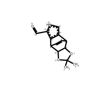 CC1(C)OC2C3C=CC(c4c3c[nH]c4C=O)C2O1